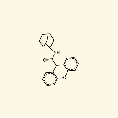 O=C(NC1CN2CCC1CC2)C1c2ccccc2Oc2ccccc21